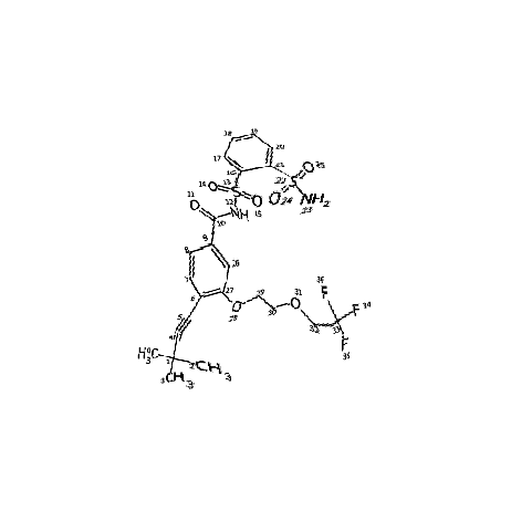 CC(C)(C)C#Cc1ccc(C(=O)NS(=O)(=O)c2ccccc2S(N)(=O)=O)cc1OCCOCC(F)(F)F